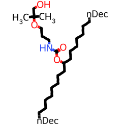 CCCCCCCCCCCCCCCCCCC(CCCCCCCCCCCCCCCCC)OC(=O)NCCCOC(C)(C)CO